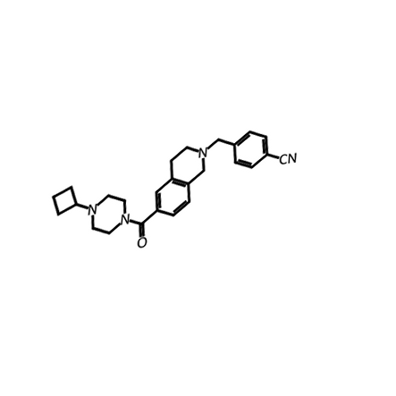 N#Cc1ccc(CN2CCc3cc(C(=O)N4CCN(C5CCC5)CC4)ccc3C2)cc1